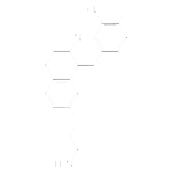 NCCOc1ccc2c(c1)C(Cc1ccc(Cl)c(Cl)c1)C(N)CC2